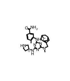 Cc1ccc(C(N)=O)cc1Nc1nc(N[C@H]2CCNC2)nc(N(C)CC23CC4CC(CC2C4)C3)n1